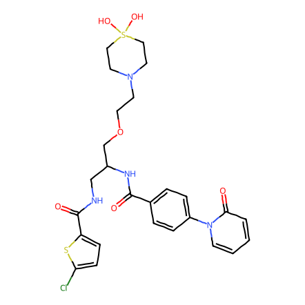 O=C(NC(CNC(=O)c1ccc(Cl)s1)COCCN1CCS(O)(O)CC1)c1ccc(-n2ccccc2=O)cc1